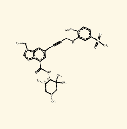 COc1ccc(S(C)(=O)=O)cc1NCC#Cc1cc(C(=O)N[C@H]2[C@@H](F)CN(C)CC2(C)C)c2ncn(CC(F)(F)F)c2c1